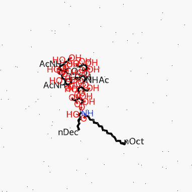 CCCCCCCC/C=C\CCCCCCCCCCCCCCCC(=O)N[C@@H](CO[C@@H]1OC(CO)[C@@H](O[C@@H]2OC(CO)[C@H](O[C@@H]3OC(CO[C@]4(C(=O)O)CC(O)[C@@H](NC(C)=O)C([C@H](O)[C@@H](CO)O[C@]5(C(=O)O)CC(O)[C@@H](NC(C)=O)C([C@H](O)[C@H](O)CO)O5)O4)[C@H](O)[C@H](O[C@@H]4OC(CO)[C@H](O)[C@H](O)C4O)C3NC(C)=O)[C@H](O)C2O)[C@H](O)C1O)[C@H](O)/C=C/CCCCCCCCCCCCC